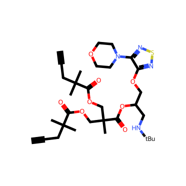 C#CCC(C)(C)C(=O)OCC(C)(COC(=O)C(C)(C)CC#C)C(=O)OC(CNC(C)(C)C)COc1nsnc1N1CCOCC1